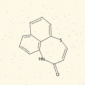 O=C1/C=C\Sc2cccc3cccc(c23)N1